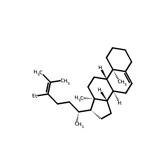 CCC(CC[C@@H](C)[C@H]1CC[C@H]2[C@@H]3CC=C4C[CH]CC[C@]4(C)[C@H]3CC[C@]12C)=C(C)C